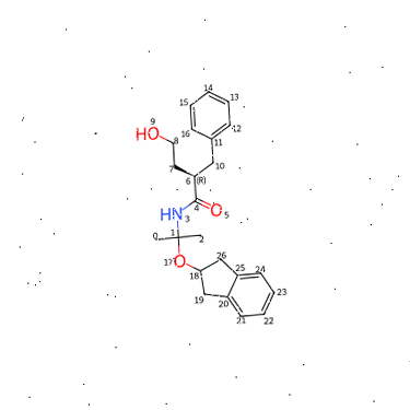 CC(C)(NC(=O)[C@@H](CCO)Cc1ccccc1)OC1Cc2ccccc2C1